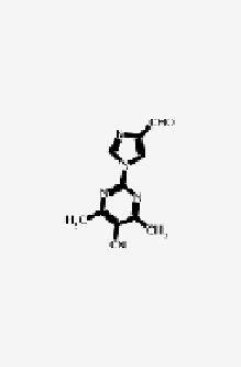 Cc1nc(-n2cnc(C=O)c2)nc(C)c1C#N